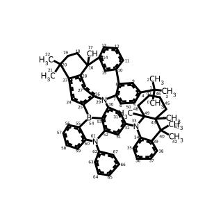 CC(C)(C)c1ccc2c(c1)-c1cccc(c1)C1(C)CCC(C)(C)c3cc4c(cc31)N2c1cc(N2c3ccccc3C(C)(C)C3(C)CCCCC23C)cc2c1B4c1ccccc1N2c1ccccc1